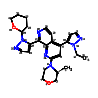 C[C@@H]1COCCN1c1cc(-c2ccnn2CC(F)(F)F)c2ccnc(-c3ccnn3C3CCCCO3)c2n1